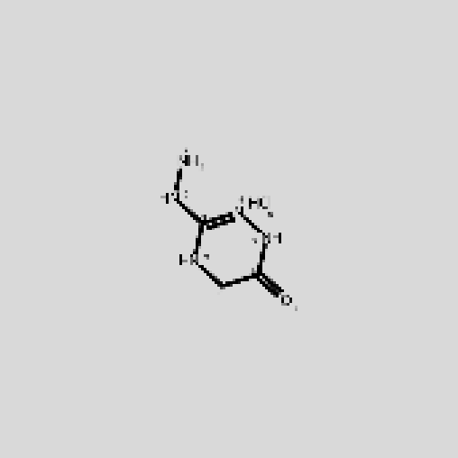 Cl.NNC1=NNC(=O)CN1